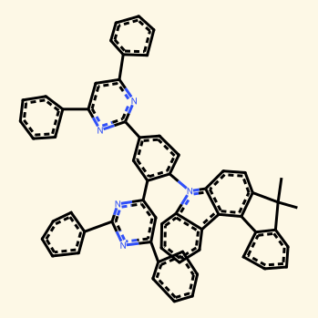 CC1(C)c2ccccc2-c2c1ccc1c2c2ccccc2n1-c1ccc(-c2nc(-c3ccccc3)cc(-c3ccccc3)n2)cc1-c1cc(-c2ccccc2)nc(-c2ccccc2)n1